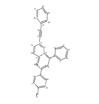 Fc1ccc(-c2cc(-c3ccccc3)c3cc(C#Cc4ccccc4)ccc3n2)cc1